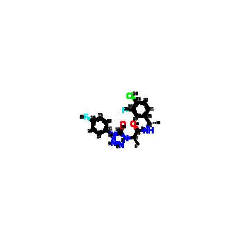 C[C@H](NC(=O)[C@@H](C)n1nnn(-c2ccc(F)cc2)c1=O)c1ccc(Cl)c(F)c1